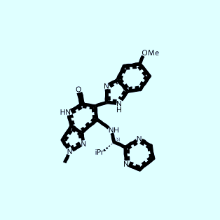 COc1ccc2[nH]c(-c3c(N[C@H](c4ncccn4)C(C)C)c4nn(C)cc4[nH]c3=O)nc2c1